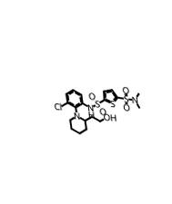 CN(C)S(=O)(=O)c1ccc(S(=O)(=O)Nc2cccc(Cl)c2N2CCCCC2CCO)s1